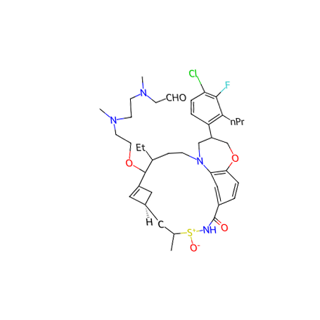 CCCc1c(C2COc3ccc4cc3N(CCC(CC)C(OCCN(C)CCN(C)CC=O)C3=C[C@@H](C3)CC(C)[S+]([O-])NC4=O)C2)ccc(Cl)c1F